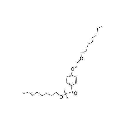 CCCCCCCCOCCOc1ccc(C(=O)C(C)(C)OCCCCCCCC)cc1